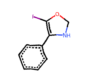 IC1=C(c2ccccc2)NCO1